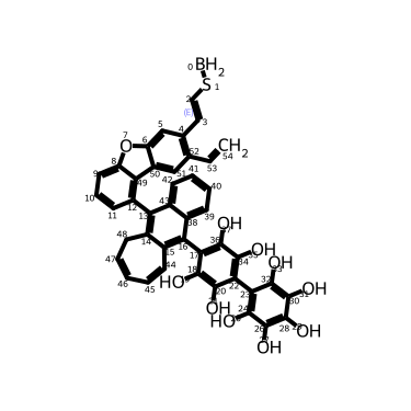 BS/C=C/c1cc2oc3cccc(-c4c5c(c(-c6c(O)c(O)c(-c7c(O)c(O)c(O)c(O)c7O)c(O)c6O)c6ccccc46)C=CC=CC5)c3c2cc1C=C